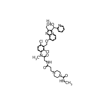 CCc1nc2c(OCc3c(Cl)ccc(N(C)C(=O)CNC(=O)CCN4CCN(C(=O)NC)CC4)c3Cl)cccn2c1C(O)c1ccccn1